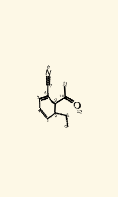 CCC1C=CC=C(C#N)C1C(C)=O